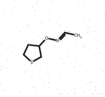 C/C=N/OC1CCSC1